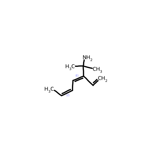 C=C/C(=C\C=C/C)C(C)(C)N